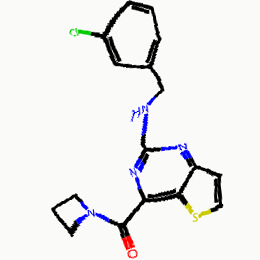 O=C(c1nc(NCc2cccc(Cl)c2)nc2ccsc12)N1CCC1